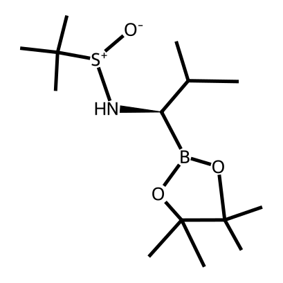 CC(C)[C@H](N[S+]([O-])C(C)(C)C)B1OC(C)(C)C(C)(C)O1